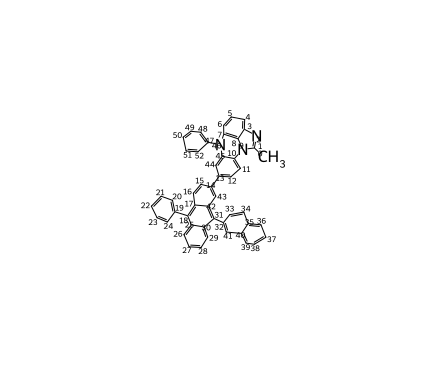 Cc1nc2cccc3c2n1-c1ccc(-c2ccc4c(-c5ccccc5)c5ccccc5c(-c5ccc6ccccc6c5)c4c2)cc1N3c1ccccc1